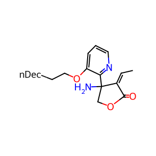 CC=C1C(=O)OCC1(N)c1ncccc1OCCCCCCCCCCCC